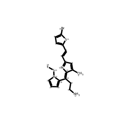 CC1=CC(/C=C/c2ccc(Br)s2)=NC/1=C(/CCN)c1cccn1SF